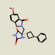 COc1ccc2c(c1)C(=O)N(CC1([C@H]3C[C@H](c4ccccc4)C3)NC(=O)NC1=O)C2